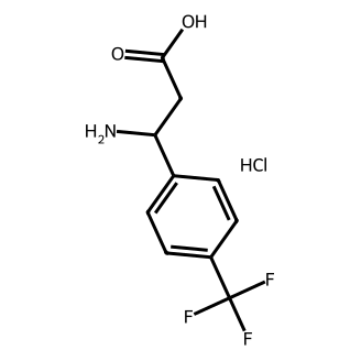 Cl.NC(CC(=O)O)c1ccc(C(F)(F)F)cc1